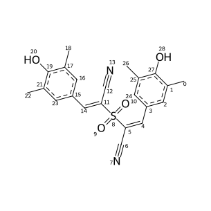 Cc1cc(C=C(C#N)S(=O)(=O)/C(C#N)=C/c2cc(C)c(O)c(C)c2)cc(C)c1O